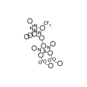 O=C(OCc1ccccc1)c1ccc2c(c1)B1c3cc(C(=O)OCc4ccccc4)ccc3N(c3ccccc3)c3cc(-c4ccc5c(c4)c4cc(-c6ccccc6)ccc4n5-c4ccc(C(F)(F)F)cc4-c4nc(-c5ccccc5)nc(-c5ccccc5)n4)cc(c31)N2c1ccccc1